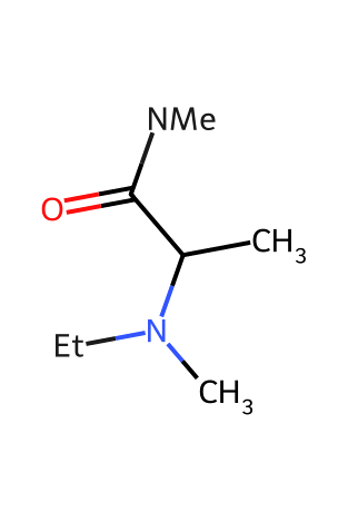 CCN(C)C(C)C(=O)NC